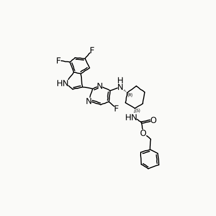 O=C(N[C@H]1CCC[C@@H](Nc2nc(-c3c[nH]c4c(F)cc(F)cc34)ncc2F)C1)OCc1ccccc1